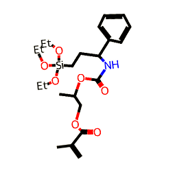 C=C(C)C(=O)OCC(C)OC(=O)NC(CC[Si](OCC)(OCC)OCC)c1ccccc1